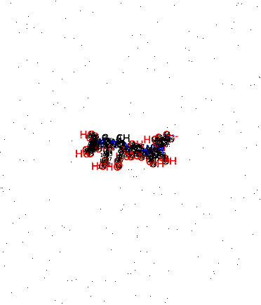 Cc1cc(N=Nc2c(S(=O)(=O)O)cc3c(S(=O)(=O)O)c(N=Nc4cc(S(=O)(=O)O)c5cc(SOOO)c(N=Nc6ccc([N+](=O)[O-])cc6S(=O)(=O)O)c(O)c5c4N)ccc3c2O)c(OCCCSOOO)cc1N=Nc1cc(C)c(N=Nc2cc(S(=O)(=O)O)cc3cc(S(=O)(=O)O)cc(O)c23)cc1OCCCSOOO